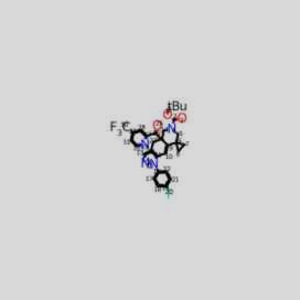 CC(C)(C)OC(=O)N1CC2(CC2)C2=Cc3c(cnn3-c3ccc(F)cc3)CC2(C(=O)c2cc(C(F)(F)F)ccn2)C1